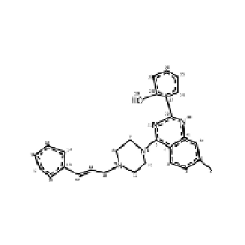 Cc1ccc2c(N3CCN(C/C=C/c4ccccc4)CC3)nc(-c3ccccc3O)nc2c1